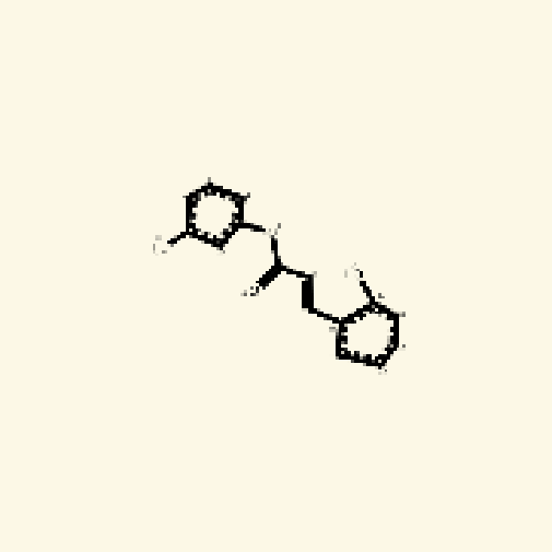 Cc1cccc(OC(=O)C=Cc2ccccc2O)c1